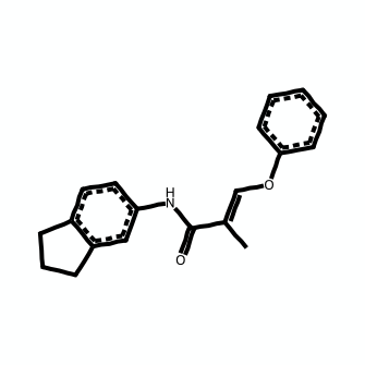 CC(=COc1ccccc1)C(=O)Nc1ccc2c(c1)CCC2